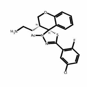 CC(=O)N1N=C(c2cc(Cl)ccc2F)S[C@]12c1ccccc1OC[C@H]2CCN